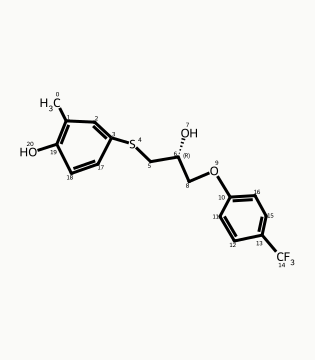 Cc1cc(SC[C@H](O)COc2ccc(C(F)(F)F)cc2)ccc1O